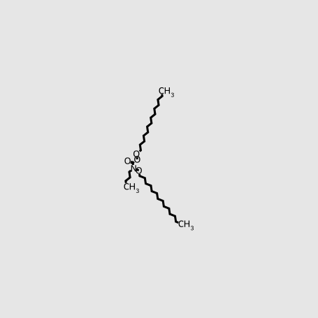 CCCCCCCCCCCCCCOOC(=O)N(CCCC)OCCCCCCCCCCCCCC